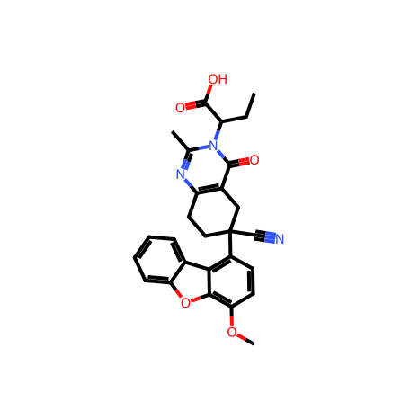 CCC(C(=O)O)n1c(C)nc2c(c1=O)CC(C#N)(c1ccc(OC)c3oc4ccccc4c13)CC2